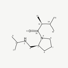 CC(C)NC[C@@H]1CCCN1C(=O)[C@@H](C)C(C)C